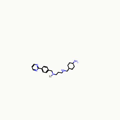 CCN(CCCNCC1CCC(N)CC1)Cc1ccc(-c2ncccn2)cc1